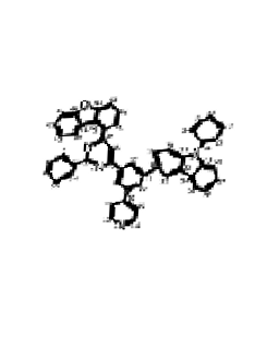 c1ccc(-c2nc(-c3cc(-c4ccncc4)cc(-c4ccc5c(c4)c4ccccc4n5-c4ccccc4)c3)cc(-c3cccc4oc5ccccc5c34)n2)cc1